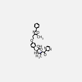 C/C(=C\C(=O)c1cnccn1)N[C@@H](Cc1ccc(OCCc2nc(-c3ccccc3)oc2C)cc1)C(=O)O